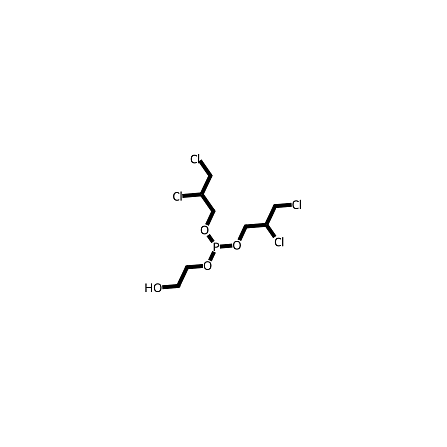 OCCOP(OCC(Cl)CCl)OCC(Cl)CCl